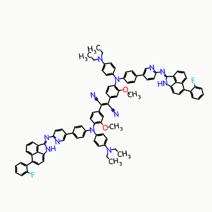 CCN(CC)c1ccc(N(c2ccc(-c3ccc(/N=C4\Nc5ccc(-c6ccccc6F)c6cccc4c56)nc3)cc2)c2ccc(/C(C#N)=C(\C#N)c3ccc(N(c4ccc(-c5ccc(/N=C6\Nc7ccc(-c8ccccc8F)c8cccc6c78)nc5)cc4)c4ccc(N(CC)CC)cc4)c(OC)c3)cc2OC)cc1